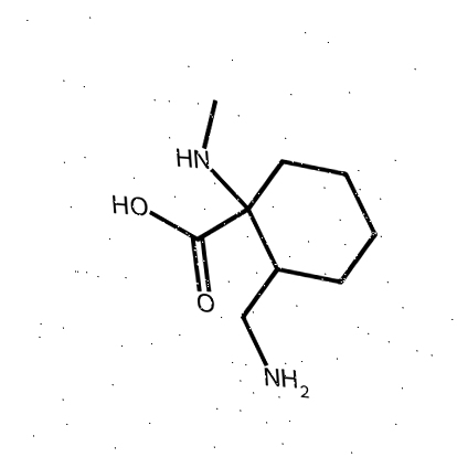 CNC1(C(=O)O)CCCCC1CN